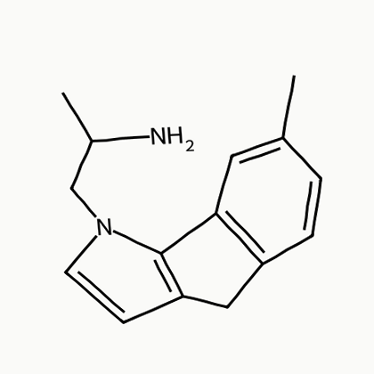 Cc1ccc2c(c1)-c1c(ccn1CC(C)N)C2